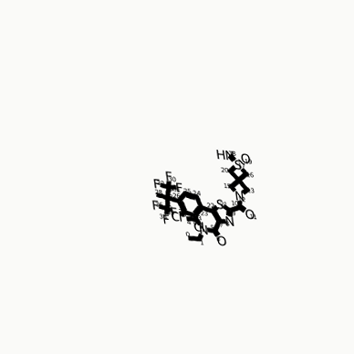 CCN(CC)C(=O)c1nc(C(=O)N2CC3(C2)CS(=N)(=O)C3)sc1-c1ccc(C(C)(C(F)(F)F)C(F)(F)F)c(Cl)c1Cl